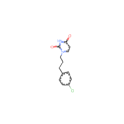 O=c1ccn(CCCc2ccc(Cl)cc2)c(=O)[nH]1